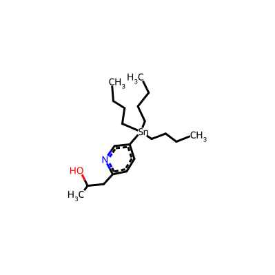 CCC[CH2][Sn]([CH2]CCC)([CH2]CCC)[c]1ccc(CC(C)O)nc1